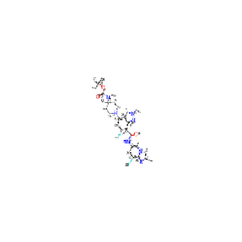 Cc1cn2cc(NC(=O)c3c(F)cc(N4CCC(C)(N(C)C(=O)OC(C)(C)C)CC4)c4cn(C)nc34)cc(F)c2n1